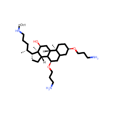 CCCCCCCCNCCC[C@@H](C)[C@H]1CC[C@H]2C3[C@H](OCCCN)CC4C[C@H](OCCCN)CC[C@]4(C)[C@H]3C[C@H](O)[C@]12C